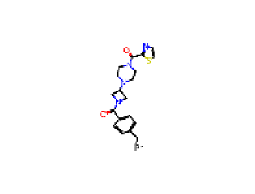 CC(C)Cc1ccc(C(=O)N2CC(N3CCN(C(=O)c4nccs4)CC3)C2)cc1